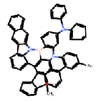 CC(C)(C)c1ccc(N2c3cc(N(c4ccccc4)c4ccccc4)ccc3B3c4c2cc2c(c4-c4cccc5c6cc7ccccc7cc6n3c45)-c3ccccc3C2(C)C)c(-c2ccccc2)c1